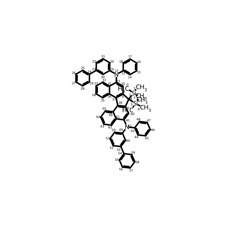 C[Si](C)(C)C1([Si](C)(C)C)c2cc(N(c3ccccc3)c3cccc(-c4ccccc4)c3)c3ccccc3c2-c2c1cc(N(c1ccccc1)c1cccc(-c3ccccc3)c1)c1ccccc21